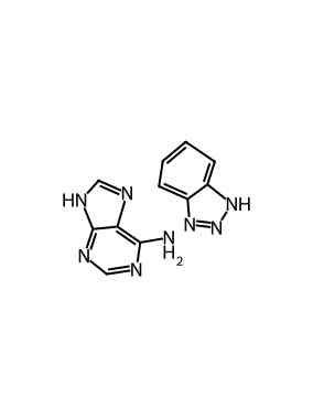 Nc1ncnc2[nH]cnc12.c1ccc2[nH]nnc2c1